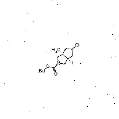 CC(C)(C)OC(=O)N1C[C@@H]2C[C@H](O)C[C@]2(C)C1